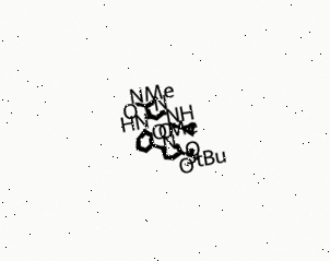 CNC(=O)c1cnc(NC(=O)C2CC2)cc1Nc1cccc(-c2ccc(S(=O)(=O)C(C)(C)C)cn2)c1OC